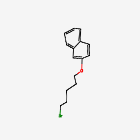 BrCCCCCOc1ccc2ccccc2c1